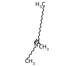 CCCCCCCCCCCCCCCCCCn1cc[n+](CCCCCCCCC)c1CC